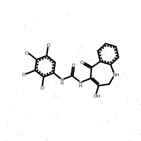 O=C(NC1=C(O)CNc2ccccc2C1=O)Nc1cc(Cl)c(Cl)c(Cl)c1Cl